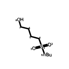 CCCCS(=O)(=O)CCCCO